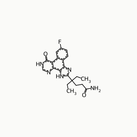 CCC(CC)(CCC(N)=O)c1nc2c3ccc(F)cc3c3c(=O)[nH]cnc3c2[nH]1